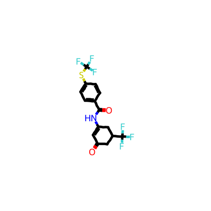 O=C1C=C(NC(=O)c2ccc(SC(F)(F)F)cc2)CC(C(F)(F)F)C1